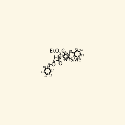 CCOC(=O)c1c(NC(=O)COCc2ccccc2)nc(SC)n1Cc1ccccc1